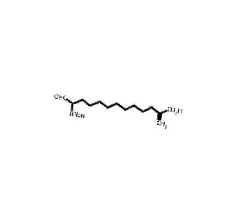 C=C(CCCCCCCCCC(C=O)CCCCCCCCC)C(=O)O